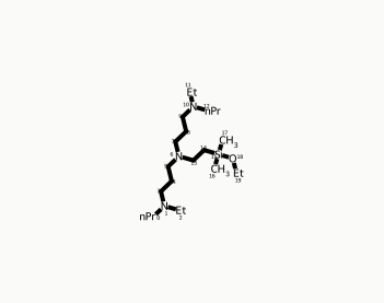 CCCN(CC)CCCN(CCCN(CC)CCC)CC[Si](C)(C)OCC